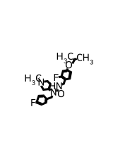 CC(C)COc1ccc(CNC(=O)N(Cc2ccc(F)cc2)C2CCN(C)CC2)c(F)c1